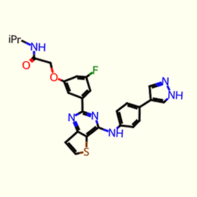 CC(C)NC(=O)COc1cc(F)cc(-c2nc(Nc3ccc(-c4cn[nH]c4)cc3)c3sccc3n2)c1